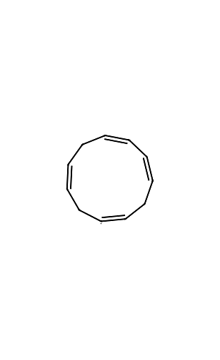 [C]1=C\C/C=C\C=C/C/C=C\C/1